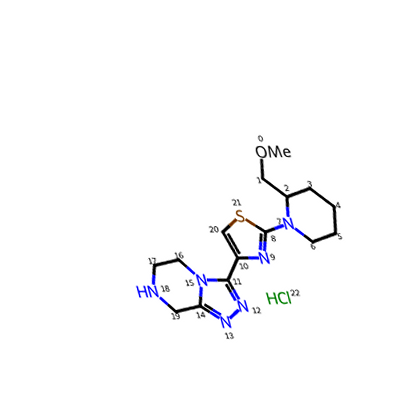 COCC1CCCCN1c1nc(-c2nnc3n2CCNC3)cs1.Cl